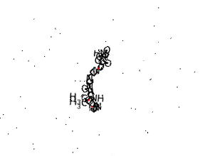 CC(C)Oc1cc2c(cc1NC(=O)c1cnn3cccnc13)CN(C1CCN(CC3CCN(c4ccc5c(c4)C(=O)N([C@@H]4CCC(=O)NC4=O)C5=O)CC3)CC1)C2=O